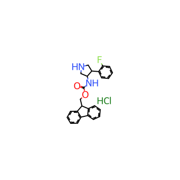 Cl.O=C(NC1CNCC1c1ccccc1F)OCC1c2ccccc2-c2ccccc21